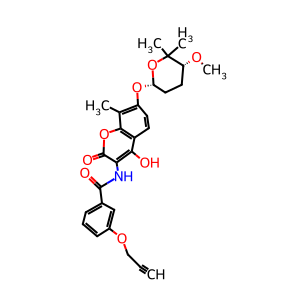 C#CCOc1cccc(C(=O)Nc2c(O)c3ccc(O[C@H]4CC[C@@H](OC)C(C)(C)O4)c(C)c3oc2=O)c1